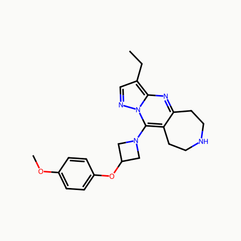 CCc1cnn2c(N3CC(Oc4ccc(OC)cc4)C3)c3c(nc12)CCNCC3